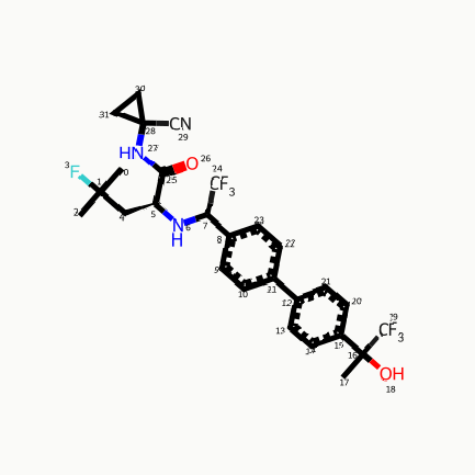 CC(C)(F)C[C@H](NC(c1ccc(-c2ccc(C(C)(O)C(F)(F)F)cc2)cc1)C(F)(F)F)C(=O)NC1(C#N)CC1